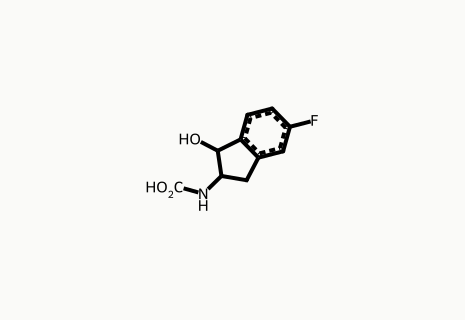 O=C(O)NC1Cc2cc(F)ccc2C1O